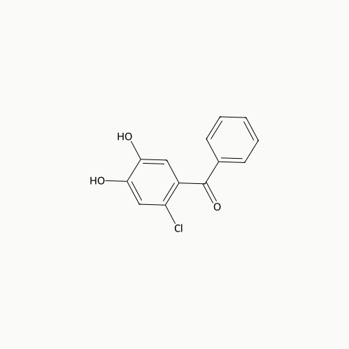 O=C(c1ccccc1)c1cc(O)c(O)cc1Cl